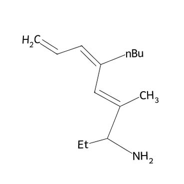 C=C/C=C(\C=C(/C)C(N)CC)CCCC